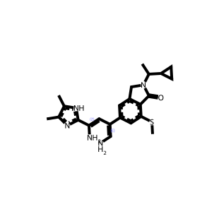 CSc1cc(C(/C=C(\N)c2nc(C)c(C)[nH]2)=C/N)cc2c1C(=O)N(C(C)C1CC1)C2